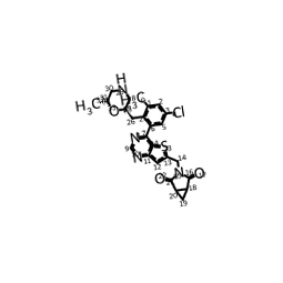 Cc1cc(Cl)cc(-c2ncnc3cc(CN4C(=O)C5CC5C4=O)sc23)c1C[C@@H]1CNC[C@@H](C)O1